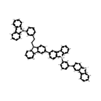 c1cc(CCC2c3ccccc3-c3cc(-c4ccc5c(c4)c4ccccc4n5-c4cccc(-c5ccc6sc7ccccc7c6c5)c4)ccc32)cc(-n2c3ccccc3c3ccccc32)c1